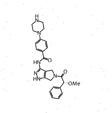 CO[C@@H](C(=O)N1Cc2[nH]nc(NC(=O)c3ccc(N4CCNCC4)cc3)c2C1)c1ccccc1